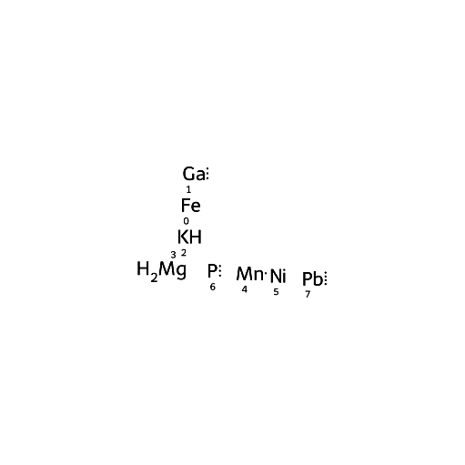 [Fe].[Ga].[KH].[MgH2].[Mn].[Ni].[P].[Pb]